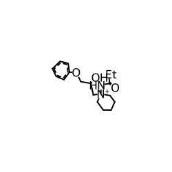 CCC(=O)N[N+]1(CC(O)COc2ccccc2)CCCCC1